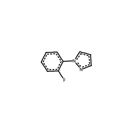 Fc1ccccc1-n1c[c]cn1